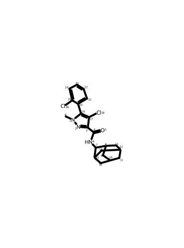 Cn1nc(C(=O)NC2C3CC4CC(C3)CC2C4)c(Cl)c1-c1ccccc1Cl